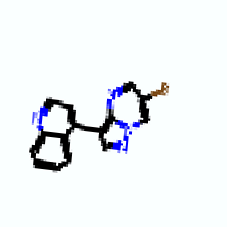 Brc1cnc2c(-c3ccnc4ccccc34)cnn2c1